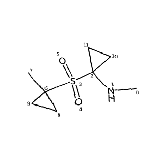 CNC1(S(=O)(=O)C2(C)CC2)CC1